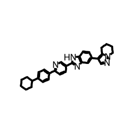 c1cc(C2CCCCC2)ccc1-c1ccc(-c2nc3cc(-c4cnn5c4CCCC5)ccc3[nH]2)cn1